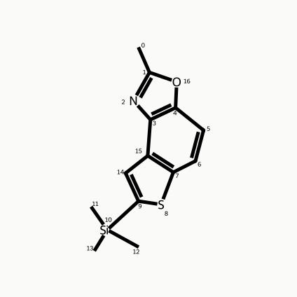 Cc1nc2c(ccc3sc([Si](C)(C)C)cc32)o1